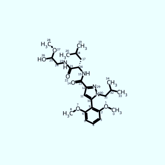 COc1cccc(OC)c1-c1cc(C(=O)N[C@@H](CC(C)C)C(=O)NCC(O)OC)nn1CC(C)C